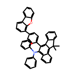 CC1(C)c2ccccc2-c2c(-c3ccc(-c4cccc5c4oc4ccccc45)cc3)c(N(c3ccccc3)c3ccccc3)c3ccccc3c21